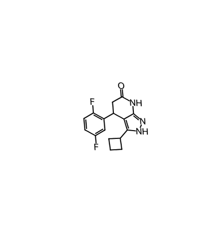 O=C1CC(c2cc(F)ccc2F)c2c(n[nH]c2C2CCC2)N1